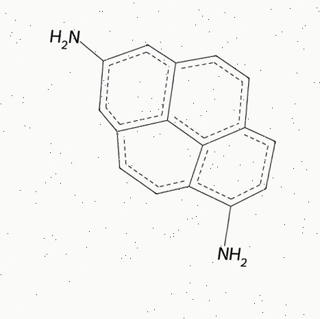 Nc1cc2ccc3ccc(N)c4ccc(c1)c2c34